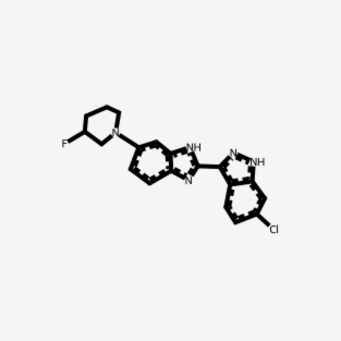 FC1CCCN(c2ccc3nc(-c4n[nH]c5cc(Cl)ccc45)[nH]c3c2)C1